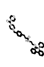 O=C(CCc1ccc(CN2CCN(C(=O)N3CCOCC3)CC2)cc1)NCCOC(=O)N(c1ccccc1-c1ccccc1)N1CC[CH]CC1